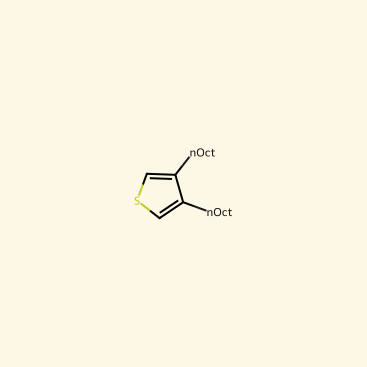 CCCCCCCCc1cscc1CCCCCCCC